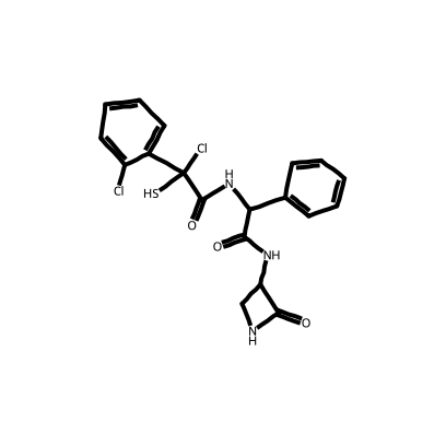 O=C1NCC1NC(=O)C(NC(=O)C(S)(Cl)c1ccccc1Cl)c1ccccc1